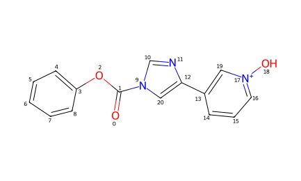 O=C(Oc1ccccc1)n1cnc(-c2ccc[n+](O)c2)c1